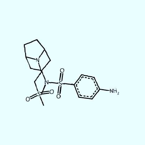 CN(C1CC2CCC(C1)N2CCS(C)(=O)=O)S(=O)(=O)c1ccc(N)cc1